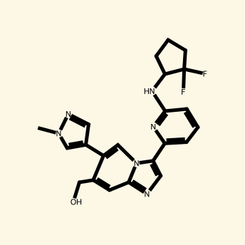 Cn1cc(-c2cn3c(-c4cccc(NC5CCCC5(F)F)n4)cnc3cc2CO)cn1